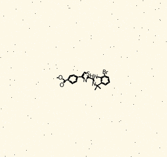 COC(=O)c1ccc(-c2csc(C3=NC(C)(C)c4cccc(Br)c4N3)n2)cc1